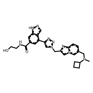 CN(Cc1ccc2nc(Cn3cc(-c4cc(C(=O)NCCO)cc5[nH]ncc45)nn3)cn2c1)C1CCC1